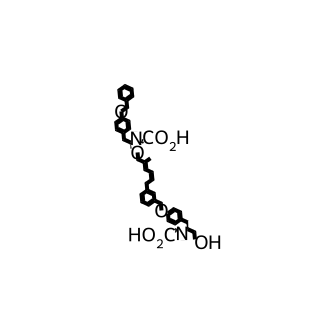 C/C(=C\C=C/Cc1cccc(COc2ccc(C[C@@H](CCO)N(C)CC(=O)O)cc2)c1)COC[C@H](Cc1ccc(OCc2ccccc2)cc1)N(C)CC(=O)O